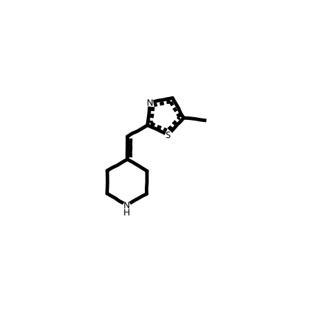 Cc1cnc(C=C2CCNCC2)s1